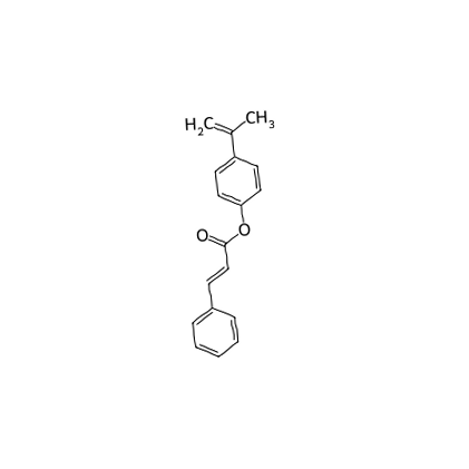 C=C(C)c1ccc(OC(=O)C=Cc2ccccc2)cc1